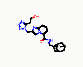 O=C(NCC12CC3CC(CC1C3)C2)c1cccc2nc(Cn3nnnc3CCO)cn12